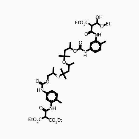 CCOC(=O)C(C(=O)Nc1cc(NC(=O)OCC(C)OC(C)(C)CC(C)OC(C)(C)CC(C)OC(=O)Nc2ccc(C)c(NC(=O)C(C(=O)OCC)C(O)OCC)c2)ccc1C)C(=O)OCC